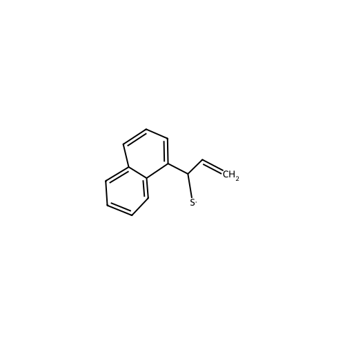 C=CC([S])c1cccc2ccccc12